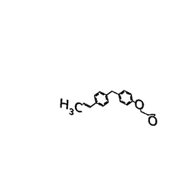 CC=Cc1ccc(Cc2ccc(OCC3CO3)cc2)cc1